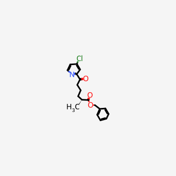 C[C@H](CCCC(=O)c1cc(Cl)ccn1)C(=O)OCc1ccccc1